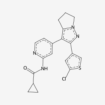 O=C(Nc1cc(-c2c(-c3csc(Cl)c3)nn3c2CCC3)ccn1)C1CC1